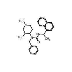 CC1CN(C)CCC1N(Cc1ccccc1)C(=O)N[C@H](C)c1cccc2ccccc12